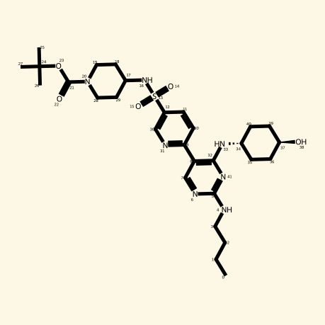 CCCCNc1ncc(-c2ccc(S(=O)(=O)NC3CCN(C(=O)OC(C)(C)C)CC3)cn2)c(N[C@H]2CC[C@H](O)CC2)n1